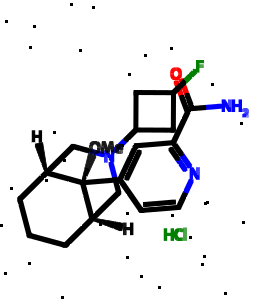 CO[C@]1(c2ccnc(C(N)=O)c2)[C@@H]2CCC[C@H]1CN(C1CC(F)C1)C2.Cl